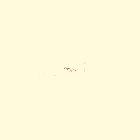 CCCCCCCC/C=C\CCCCCCCCC(C)C1CCN(CCSSCCN2CCC(C(C)CCCCCCCC/C=C\CCCCCCCC)CC2)CC1